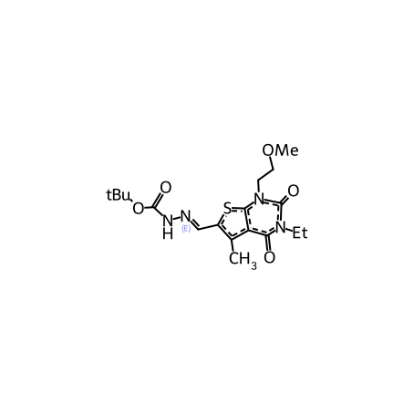 CCn1c(=O)c2c(C)c(/C=N/NC(=O)OC(C)(C)C)sc2n(CCOC)c1=O